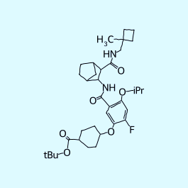 CC(C)Oc1cc(F)c(OC2CCC(C(=O)OC(C)(C)C)CC2)cc1C(=O)NC1C2CCC(C2)C1C(=O)NCC1(C)CCC1